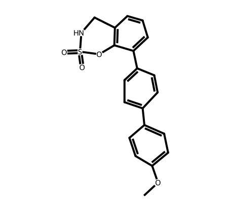 COc1ccc(-c2ccc(-c3cccc4c3OS(=O)(=O)NC4)cc2)cc1